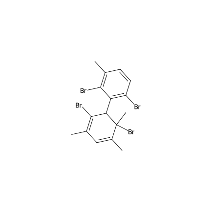 CC1=CC(C)=C(Br)C(c2c(Br)ccc(C)c2Br)C1(C)Br